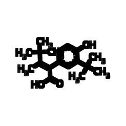 CC(=C(C(=O)O)c1ccc(O)c(C(C)(C)C)c1)C(C)(C)C